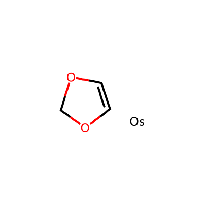 C1=COCO1.[Os]